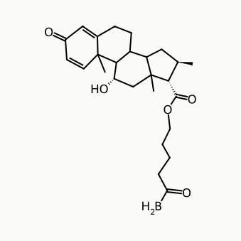 BC(=O)CCCCOC(=O)[C@H]1[C@H](C)CC2C3CCC4=CC(=O)C=CC4(C)C3[C@@H](O)CC21C